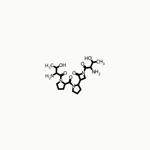 CC(O)C(N)C(=O)N1CC(C2CCCN2C(=O)C2CCCN2C(=O)C(N)C(C)O)C1=O